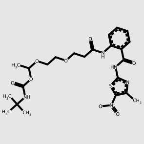 Cc1nc(NC(=O)c2ccccc2NC(=O)CCOCCOC(C)OC(=O)NC(C)(C)C)sc1[N+](=O)[O-]